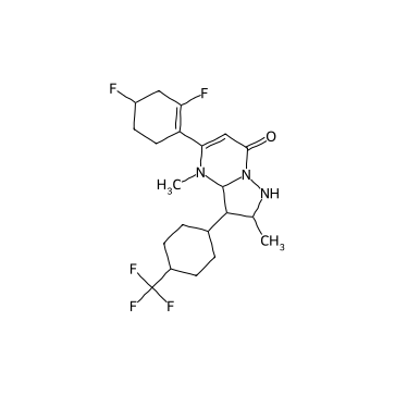 CC1NN2C(=O)C=C(C3=C(F)CC(F)CC3)N(C)C2C1C1CCC(C(F)(F)F)CC1